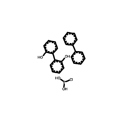 OP(O)Cl.Oc1ccccc1-c1ccccc1O.c1ccc(-c2ccccc2)cc1